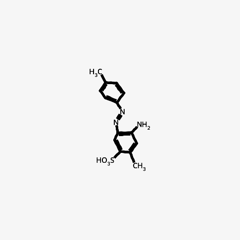 Cc1ccc(N=Nc2cc(S(=O)(=O)O)c(C)cc2N)cc1